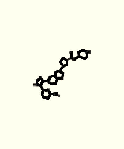 Cc1cccc(-c2[nH]cnc2-c2ccc3ncc(N4CC[C@H](C(=O)OC5CCNCC5)C4)cc3c2)n1